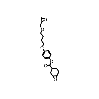 O=C(Oc1ccc(OCCCCOCC2CO2)cc1)C1CCC2OC2C1